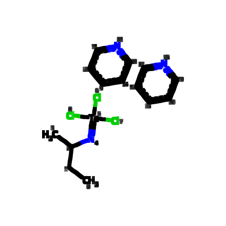 CCC(C)[N]=[Ta]([Cl])([Cl])[Cl].c1ccncc1.c1ccncc1